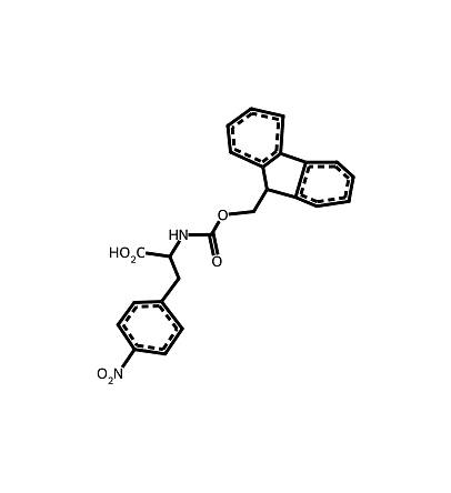 O=C(NC(Cc1ccc([N+](=O)[O-])cc1)C(=O)O)OCC1c2ccccc2-c2ccccc21